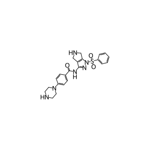 O=C(Nc1nn(S(=O)(=O)c2ccccc2)c2c1CNC2)c1ccc(N2CCNCC2)cc1